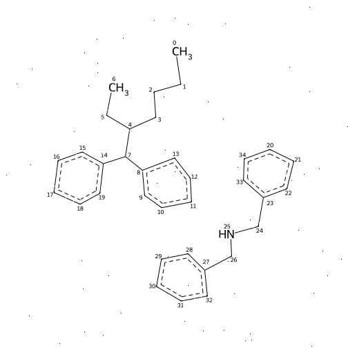 CCCCC(CC)C(c1ccccc1)c1ccccc1.c1ccc(CNCc2ccccc2)cc1